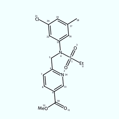 CCS(=O)(=O)N(Cc1ccc(C(=O)OC)cn1)c1cc(C)cc(Cl)c1